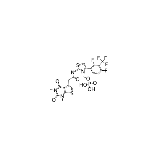 Cn1c(=O)c2c(CC(=O)N=c3scc(-c4ccc(F)c(C(F)(F)F)c4F)n3COP(=O)(O)O)csc2n(C)c1=O